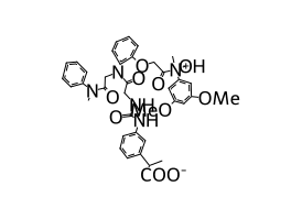 COc1cc(OC)cc([N+](C)(O)C(=O)COc2ccccc2N(CC(=O)N(C)c2ccccc2)C(=O)CNC(=O)Nc2cccc(C(C)C(=O)[O-])c2)c1